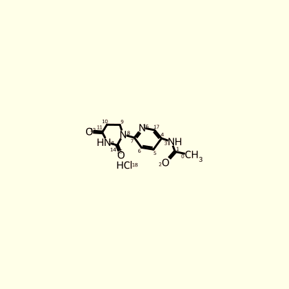 CC(=O)Nc1ccc(N2CCC(=O)NC2=O)nc1.Cl